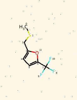 CSCc1ccc(C(F)(F)F)o1